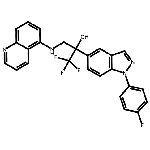 OC(CNc1cccc2ncccc12)(c1ccc2c(cnn2-c2ccc(F)cc2)c1)C(F)(F)F